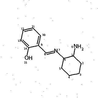 NC1CCCCC1N=Cc1ccccc1O